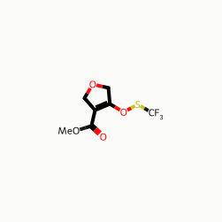 COC(=O)C1=C(OSC(F)(F)F)COC1